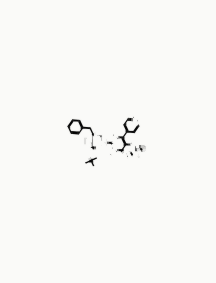 Cn1c(NC[C@H](Cc2ccccc2)NC(=O)OC(C)(C)C)nc(-c2ccncc2)c(NS(C)(=O)=O)c1=O